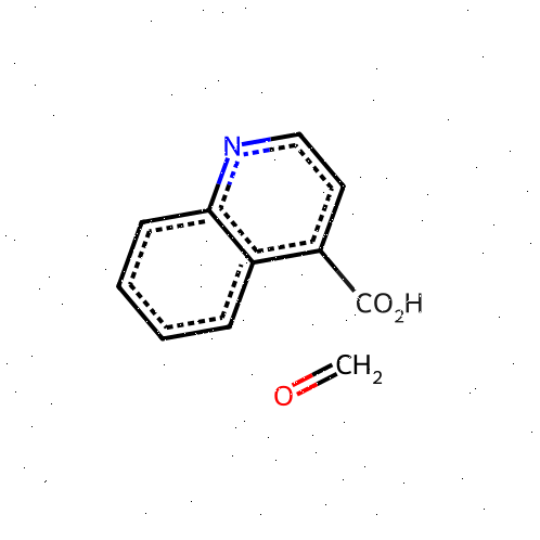 C=O.O=C(O)c1ccnc2ccccc12